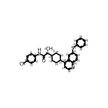 C[C@@H](C(=O)Nc1ccc(Cl)cc1)C1CCC(c2ccnc3ccc(Sc4ccccc4)cc23)CC1